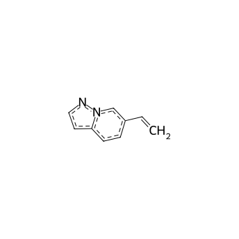 C=Cc1ccc2ccnn2c1